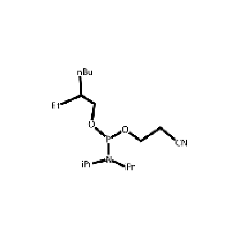 CCCCC(CC)COP(OCCC#N)N(C(C)C)C(C)C